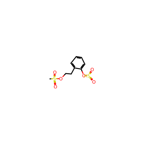 CS(=O)(=O)OCCc1ccccc1O[SH](=O)=O